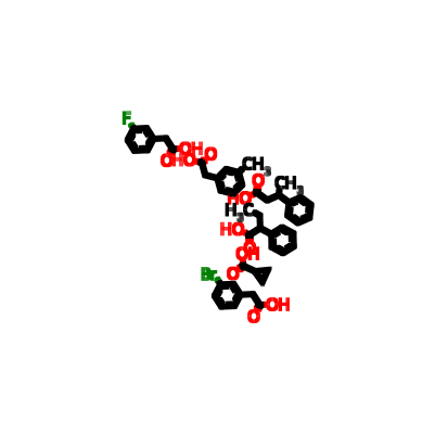 CC(CC(=O)O)c1ccccc1.CCC(C(=O)O)c1ccccc1.Cc1cccc(CC(=O)O)c1.O=C(O)C1CC1.O=C(O)Cc1cccc(Br)c1.O=C(O)Cc1cccc(F)c1